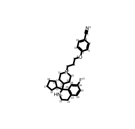 N#Cc1ccc(OCCCN2CCC(C3(C4CCCC4)NCCc4ccc(F)cc43)CC2)cc1